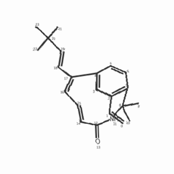 C=Cc1cc2ccc1C(C)(C)NC(=O)/C=C/C=C2/C=C/C(C)(C)C